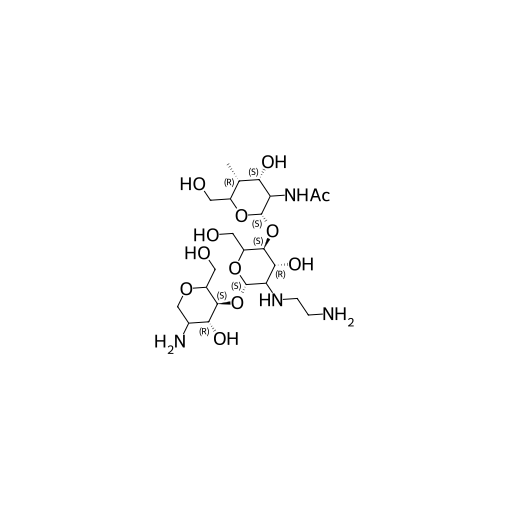 CC(=O)NC1[C@H](O[C@@H]2C(CO)O[C@@H](O[C@@H]3C(CO)OCC(N)[C@H]3O)C(NCCN)[C@H]2O)OC(CO)[C@H](C)[C@@H]1O